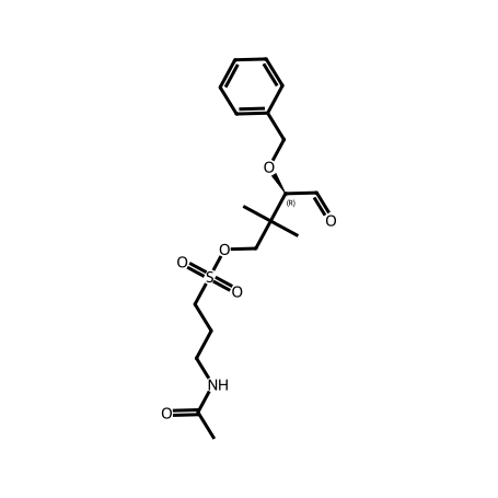 CC(=O)NCCCS(=O)(=O)OCC(C)(C)[C@H](C=O)OCc1ccccc1